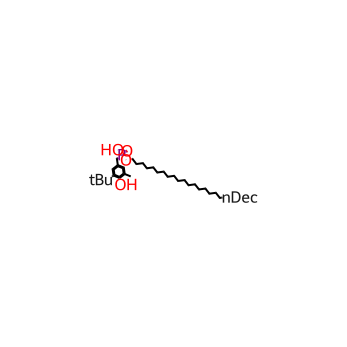 CCCCCCCCCCCCCCCCCCCCCCCCCCCCOP(=O)(O)Cc1cc(C)c(O)c(C(C)(C)C)c1